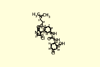 CN(C)CCOc1ccc(NC(=O)Nc2ccc(Cl)cc2O)cc1-c1c(Cl)cnn1C